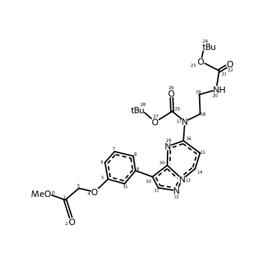 COC(=O)COc1cccc(-c2cnn3ccc(N(CCNC(=O)OC(C)(C)C)C(=O)OC(C)(C)C)nc23)c1